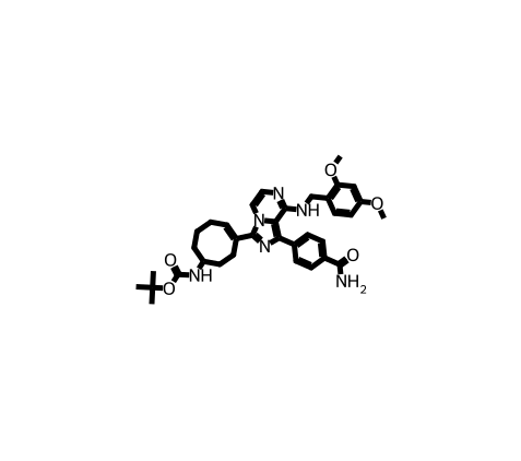 COc1ccc(CNc2nccn3c(/C4=C/CCCC(NC(=O)OC(C)(C)C)CC4)nc(-c4ccc(C(N)=O)cc4)c23)c(OC)c1